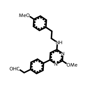 COc1ccc(CCNc2cc(-c3ccc(CC=O)cc3)nc(OC)n2)cc1